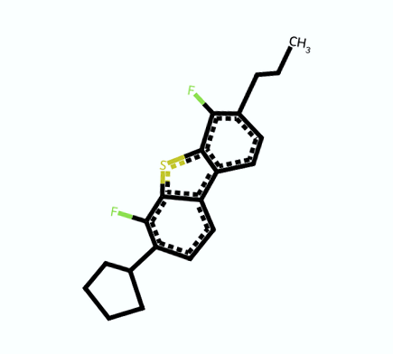 CCCc1ccc2c(sc3c(F)c(C4CCCC4)ccc32)c1F